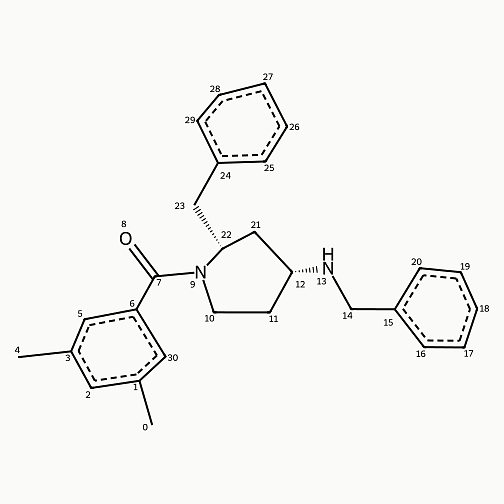 Cc1cc(C)cc(C(=O)N2CC[C@@H](NCc3ccccc3)C[C@H]2Cc2ccccc2)c1